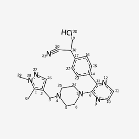 Cc1c(CN2CCN(c3nccnc3-c3ccc(C(C)C#N)cc3)CC2)cnn1C.Cl